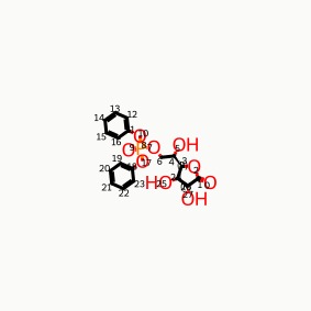 O=C1O[C@H](C(O)COP(=O)(Oc2ccccc2)Oc2ccccc2)C(O)[C@H]1O